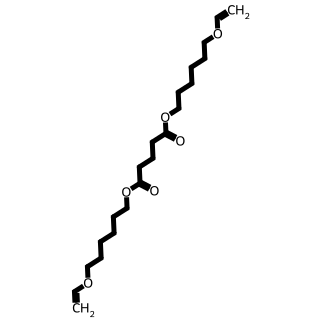 C=COCCCCCCOC(=O)CCCC(=O)OCCCCCCOC=C